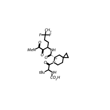 CNC(=O)C(=O)C(CCC(C)(F)F)NC(=O)[C@@H]1CC2(CCN1C(=O)C(NC(=O)O)C(C)(C)C)CC2